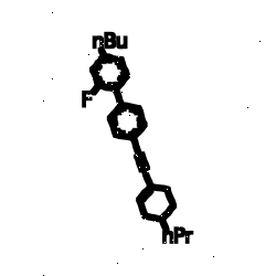 CCCCc1ccc(-c2ccc(C#CC3=CCC(CCC)CC3)cc2)c(F)c1